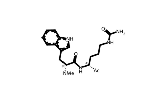 CN[C@H](Cc1c[nH]c2ccccc12)C(=O)N[C@H](CCCNC(N)=O)C(C)=O